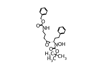 CC(C)(C)OC(=O)N(O)C(CCc1ccccc1)[C@@H]1O[C@H]1CCCNC(=O)OCc1ccccc1